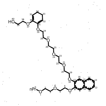 CCCOCCOCCOc1cc2ccccc2cc1OCCOCCOCCOCCOC1=CCCC=C1OCCO